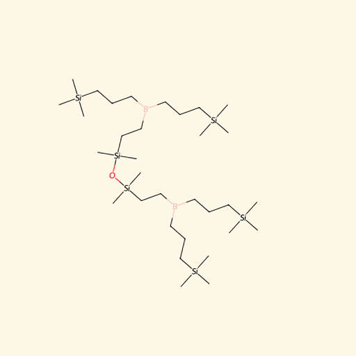 C[Si](C)(C)CCCB(CCC[Si](C)(C)C)CC[Si](C)(C)O[Si](C)(C)CCB(CCC[Si](C)(C)C)CCC[Si](C)(C)C